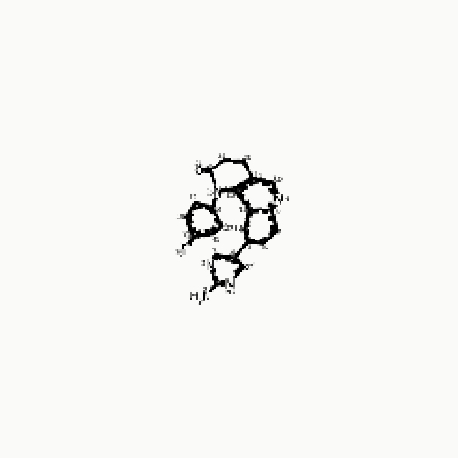 Nc1ncc(-c2ccc3ncc4c(c3c2)N(c2ccc(F)cc2)C(=O)CC4)cn1